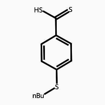 CCCCSc1ccc(C(=S)S)cc1